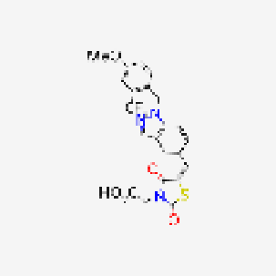 COc1ccc(Cn2ncc3cc(C=C4SC(=O)N(CC(=O)O)C4=O)ccc32)c(C(F)(F)F)c1